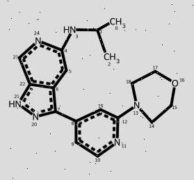 CC(C)Nc1cc2c(-c3ccnc(N4CCOCC4)c3)n[nH]c2cn1